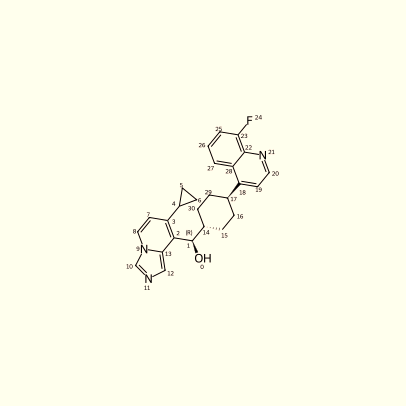 O[C@@H](c1c(C2CC2)ccn2cncc12)[C@H]1CC[C@H](c2ccnc3c(F)cccc32)CC1